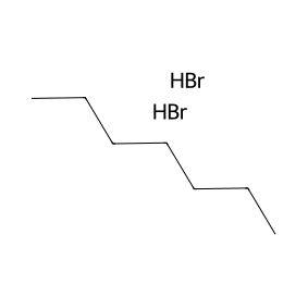 Br.Br.CCCCCCC